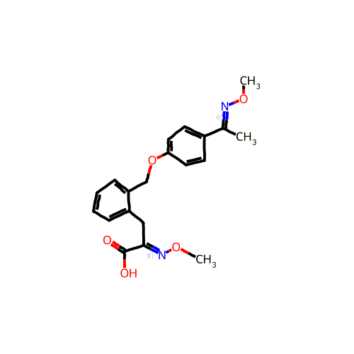 CO/N=C(\Cc1ccccc1COc1ccc(/C(C)=N/OC)cc1)C(=O)O